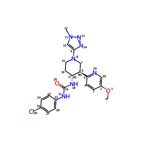 COc1ccc([C@@H]2CN(c3cn(C)nn3)CC[C@H]2NC(=O)Nc2ccc(Cl)cc2)nc1